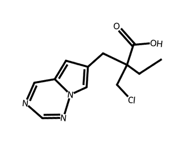 CCC(CCl)(Cc1cc2cncnn2c1)C(=O)O